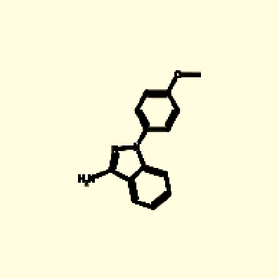 COc1ccc(-n2nc(N)c3ccccc32)cc1